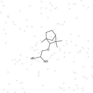 CCCC(COC1C2(C)CCC(C2)C1(C)C)N=O